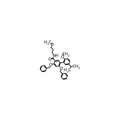 COCCCNC(=O)c1cc(-c2cc(C(C)C)ccc2OC)c(OCc2ccccc2)cc1OCc1ccccc1